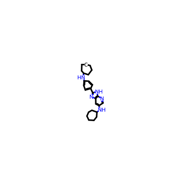 c1cc(-c2nc3cc(NC4CCCCCC4)cnc3[nH]2)ccc1NC1CCCCCC1